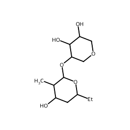 CCC1CC(O)C(C)C(OC2COCC(O)C2O)O1